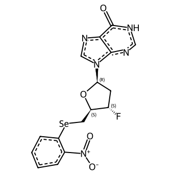 O=c1[nH]cnc2c1ncn2[C@H]1C[C@H](F)[C@@H](C[Se]c2ccccc2[N+](=O)[O-])O1